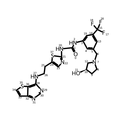 O=C(Nc1cc(CN2CC[C@@H](O)C2)cc(C(F)(F)F)c1)Nc1ncc(CCNc2ncnc3ccsc23)s1